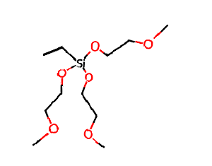 CC[Si](OCCOC)(OCCOC)OCCOC